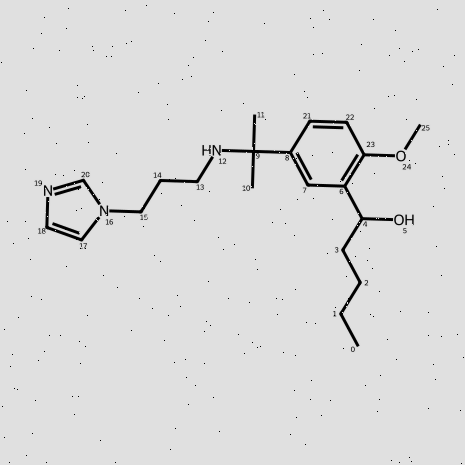 CCCCC(O)c1cc(C(C)(C)NCCCn2ccnc2)ccc1OC